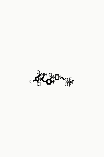 O=C(c1cc(Cc2c[nH]c(=O)c3cc(Cl)c(Cl)n23)ccc1F)N1CCN(CCOC(=O)C(F)(F)F)CC1